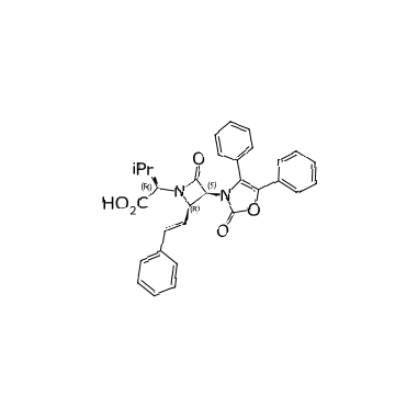 CC(C)[C@H](C(=O)O)N1C(=O)[C@@H](n2c(-c3ccccc3)c(-c3ccccc3)oc2=O)[C@H]1C=Cc1ccccc1